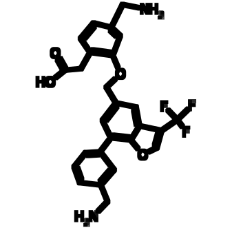 NCc1cccc(-c2cc(COc3cc(CN)ccc3CC(=O)O)cc3c(C(F)(F)F)coc23)c1